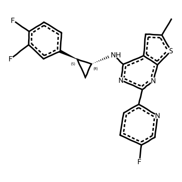 Cc1cc2c(N[C@@H]3C[C@H]3c3ccc(F)c(F)c3)nc(-c3ccc(F)cn3)nc2s1